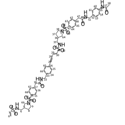 C=CS(=O)(=O)NCC1CCN(S(=O)(=O)c2ccc(CC(=O)NCc3ccc(C#C/C=C/S(=O)(=O)NCC4CCN(S(=O)(=O)c5ccc(CC(=O)NCc6ccc(NC(C)=O)cc6)cc5)C4)cc3)cc2)C1